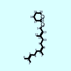 CC(C)=CCC/C(C)=C\CC/C(C)=C/COC1CCCCO1